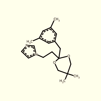 Cc1cc(C)cc(CC2(CCn3ccnc3)OCC(C)(C)CO2)c1